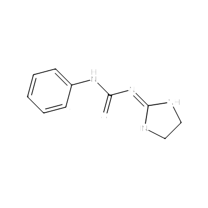 O=C(N=C1NCCN1)Nc1ccccc1